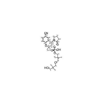 CC(C)(CO)COCC(C)(C)COP(=O)(O)O[C@H]1[C@H](N2CCCC2=O)c2cc(C#N)ccc2OC1(C)C